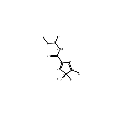 CCC(C)NC(=O)C1=NC(C)(N)C(C)=C1